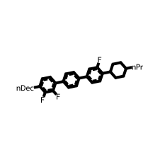 CCCCCCCCCCc1ccc(-c2ccc(-c3ccc(C4CCC(CCC)CC4)c(F)c3)cc2)c(F)c1F